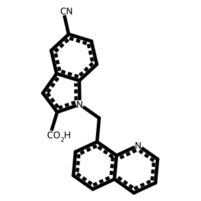 N#Cc1ccc2c(c1)cc(C(=O)O)n2Cc1cccc2cccnc12